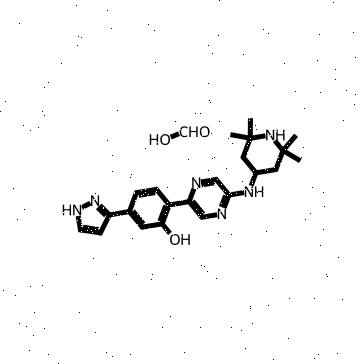 CC1(C)CC(Nc2cnc(-c3ccc(-c4cc[nH]n4)cc3O)cn2)CC(C)(C)N1.O=CO